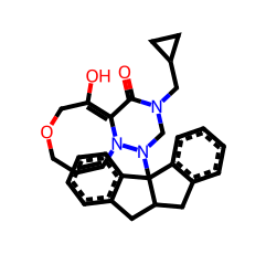 O=C1/C2=C(\O)COC/C=C\N2N(C23c4ccccc4CC2Cc2ccccc23)CN1CC1CC1